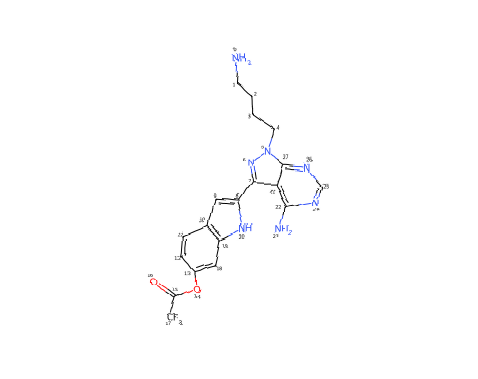 NCCCCn1nc(-c2cc3ccc(OC(=O)C(F)(F)F)cc3[nH]2)c2c(N)ncnc21